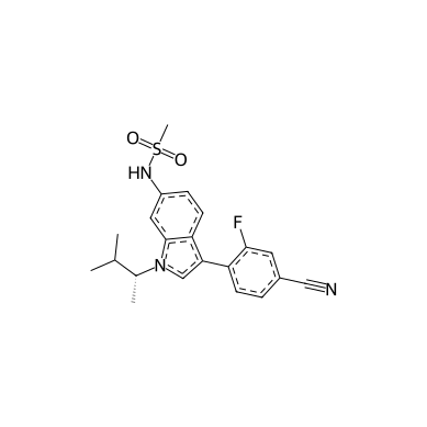 CC(C)[C@@H](C)n1cc(-c2ccc(C#N)cc2F)c2ccc(NS(C)(=O)=O)cc21